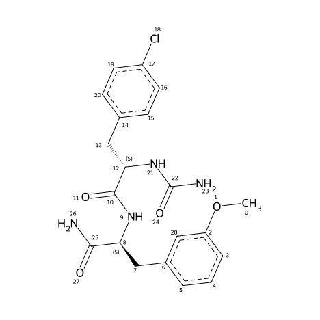 COc1cccc(C[C@H](NC(=O)[C@H](Cc2ccc(Cl)cc2)NC(N)=O)C(N)=O)c1